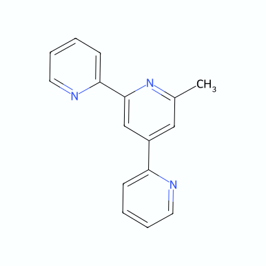 Cc1cc(-c2ccccn2)cc(-c2ccccn2)n1